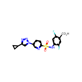 O=C(O)c1cc(F)c(NS(=O)(=O)c2ccc(-n3cc(C4CC4)nn3)cn2)cc1F